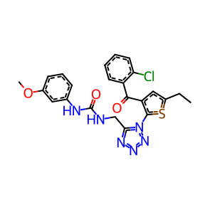 CCc1cc(C(=O)c2ccccc2Cl)c(-n2nnnc2CNC(=O)Nc2cccc(OC)c2)s1